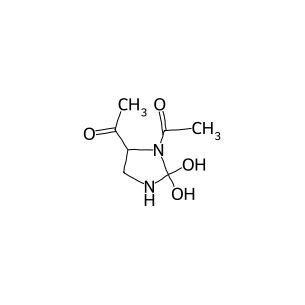 CC(=O)C1CNC(O)(O)N1C(C)=O